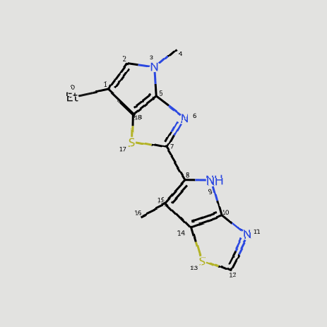 CCc1cn(C)c2nc(-c3[nH]c4ncsc4c3C)sc12